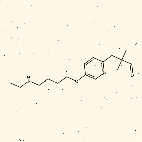 CCNCCCCOc1ccc(CC(C)(C)C=O)nc1